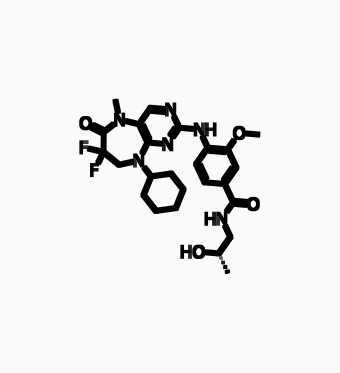 COc1cc(C(=O)NC[C@H](C)O)ccc1Nc1ncc2c(n1)N(C1CCCCC1)CC(F)(F)C(=O)N2C